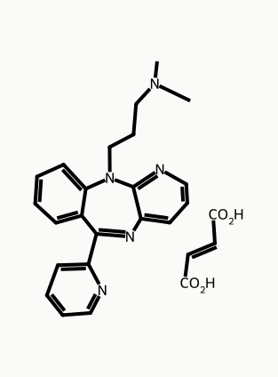 CN(C)CCCN1c2ccccc2C(c2ccccn2)=Nc2cccnc21.O=C(O)C=CC(=O)O